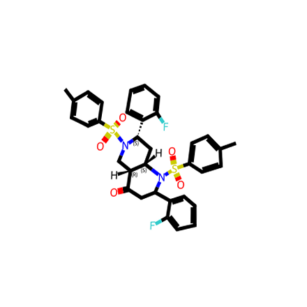 Cc1ccc(S(=O)(=O)N2C[C@H]3C(=O)CC(c4ccccc4F)N(S(=O)(=O)c4ccc(C)cc4)[C@H]3C[C@H]2c2ccccc2F)cc1